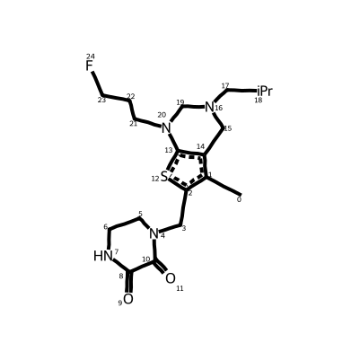 Cc1c(CN2CCNC(=O)C2=O)sc2c1CN(CC(C)C)CN2CCCF